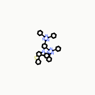 c1ccc(-c2nc(-c3ccccc3)nc(-c3ccc(-n4c5ccccc5c5c6c(ccc54)sc4ccccc46)c(-c4nc(-c5ccccc5)nc(-c5ccccc5)n4)c3)n2)cc1